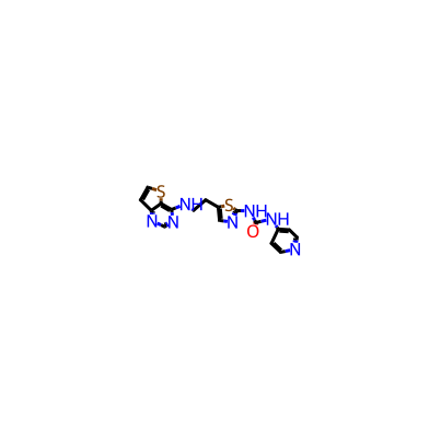 O=C(Nc1ccncc1)Nc1ncc(CCNc2ncnc3ccsc23)s1